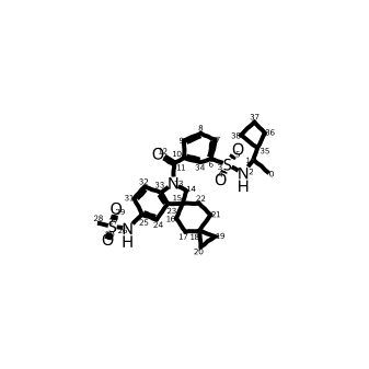 CC(NS(=O)(=O)c1cccc(C(=O)N2CC3(CCC4(CC4)CC3)c3cc(NS(C)(=O)=O)ccc32)c1)C1CCC1